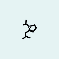 CC(C)CC1=CCCN1C(C)C